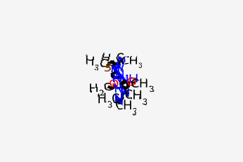 C=CC(=O)Nc1cc(Nc2nccc(-n3nc(N(C)C)c4cc(C)sc43)n2)c(OC)cc1N(C)CCN(C)C